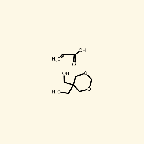 C=CC(=O)O.CCC1(CO)COCOC1